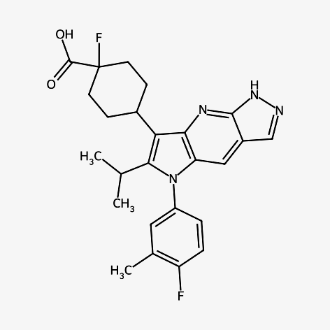 Cc1cc(-n2c(C(C)C)c(C3CCC(F)(C(=O)O)CC3)c3nc4[nH]ncc4cc32)ccc1F